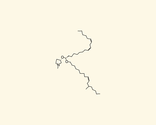 CCCCC/C=C\C/C=C\CCCCCCC[C@@H](OCCCCCCCC/C=C\CC(C)CCCCC)O[C@H]1CCN(C)C1